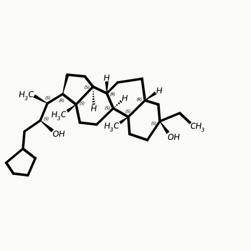 CC[C@]1(O)CC[C@@]2(C)[C@H](CC[C@@H]3[C@@H]2CC[C@]2(C)[C@@H]([C@H](C)[C@@H](O)CC4CCCC4)CC[C@@H]32)C1